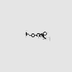 O=C(NO)C1(S(=O)(=O)c2ccc(-c3ccc(CCC(F)(F)F)cc3)nc2)CCOCC1